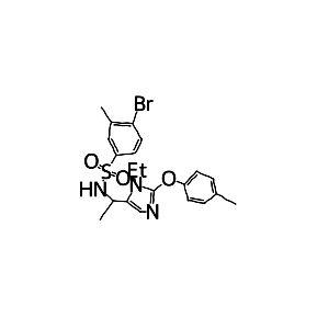 CCn1c(C(C)NS(=O)(=O)c2ccc(Br)c(C)c2)cnc1Oc1ccc(C)cc1